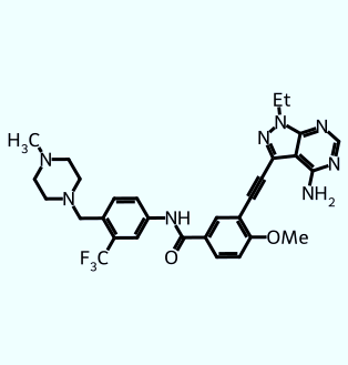 CCn1nc(C#Cc2cc(C(=O)Nc3ccc(CN4CCN(C)CC4)c(C(F)(F)F)c3)ccc2OC)c2c(N)ncnc21